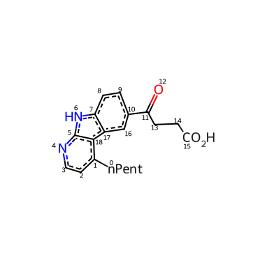 CCCCCc1ccnc2[nH]c3ccc(C(=O)CCC(=O)O)cc3c12